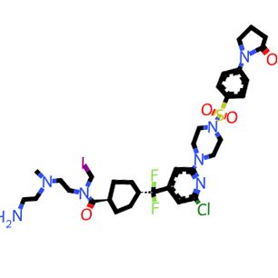 CN(CCN)CCN(CI)C(=O)[C@H]1CC[C@H](C(F)(F)c2cc(Cl)nc(N3CCN(S(=O)(=O)c4ccc(N5CCCC5=O)cc4)CC3)c2)CC1